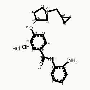 Cl.Cl.Nc1ccccc1NC(=O)c1ccc(O[C@@H]2CCN(CC3CC3)C2)cc1